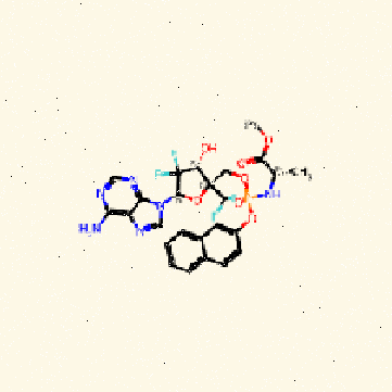 CC(C)OC(=O)[C@H](C)NP(=O)(OC[C@@]1(C(F)F)O[C@@H](n2cnc3c(N)ncnc32)C(F)(F)[C@@H]1O)Oc1ccc2ccccc2c1